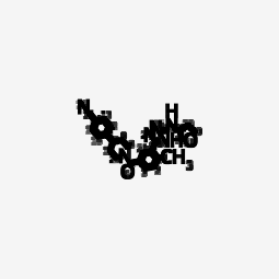 Cc1ccc(C(=O)N2CCC(c3ccc(C#N)cc3)CC2)cc1-c1nnc(N[C@@H]2CCOC2)[nH]1